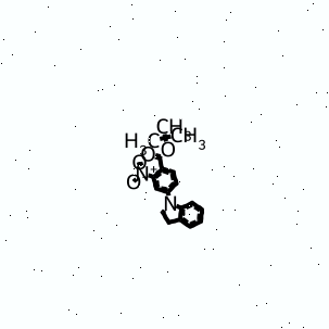 CC(C)(C)OC(=O)c1ccc(N2CCc3ccccc32)cc1[N+](=O)[O-]